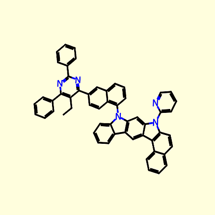 CCc1c(-c2ccccc2)nc(-c2ccccc2)nc1-c1ccc2c(-n3c4ccccc4c4cc5c6c7ccccc7ccc6n(-c6ccccn6)c5cc43)cccc2c1